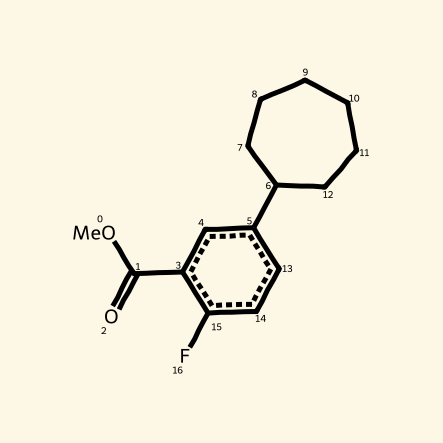 COC(=O)c1cc(C2CCCCCC2)ccc1F